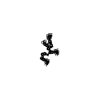 CC(CC1CN(Cc2cccc3c2CN(S(C)(=O)=O)CC3)C2(CCN(C(=O)OC(C(F)(F)F)C(F)(F)F)CC2)C1)N1CCc2cccc(CN3CC(C4CC4N4CCc5cccc(CN6CCCC67CCN(C(=O)OC(C(F)(F)F)C(F)(F)F)CC7)c5C4)CC34CCN(C(=O)OC(C(F)(F)F)C(F)(F)F)CC4)c2C1